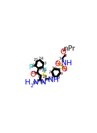 CCCOCCNS(=O)(=O)c1ccc(Nc2nc(N)c(C(=O)c3c(F)cccc3F)s2)cc1